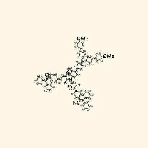 COc1ccc(-c2ccc3c(c2)c2cc(-c4ccc(OC)cc4)ccc2n3-c2ccc(-c3ccc(N(c4ccc(-c5ccc(C(C#N)=C(c6ccccc6)c6ccccc6)cc5)cc4)c4ccc(-c5ccc(C(C#N)=C(c6ccccc6)c6ccccc6)cc5)cc4)c4nsnc34)cc2)cc1